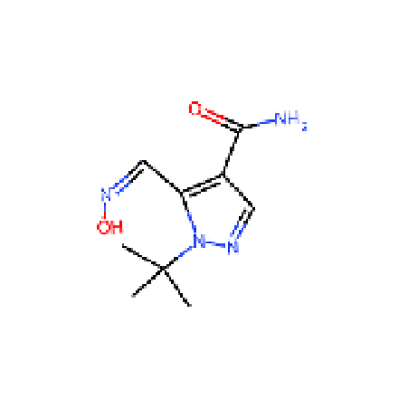 CC(C)(C)n1ncc(C(N)=O)c1/C=N\O